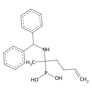 C=CCCC(C)(NC(c1ccccc1)c1ccccc1)P(O)O